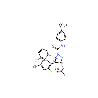 C=C(C)C[C@H]1CN(C(=O)Nc2ccc(C(=O)O)cc2)[C@@H](c2cccc(Cl)c2F)[C@]1(C#N)c1ccc(Cl)cc1F